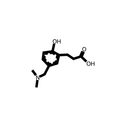 CN(C)Cc1ccc(O)c(CCC(=O)O)c1